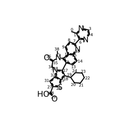 Cc1nccnc1-c1ccc2c3c(ccc2n1)-c1c(C2CCCCC2)c2sc(C(=O)O)cc2n1CC(=O)N3C